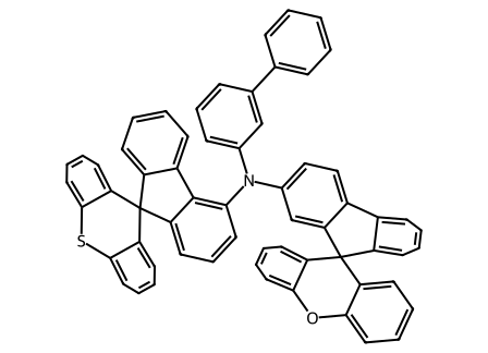 c1ccc(-c2cccc(N(c3ccc4c(c3)C3(c5ccccc5Oc5ccccc53)c3ccccc3-4)c3cccc4c3-c3ccccc3C43c4ccccc4Sc4ccccc43)c2)cc1